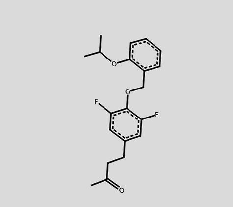 CC(=O)CCc1cc(F)c(OCc2ccccc2OC(C)C)c(F)c1